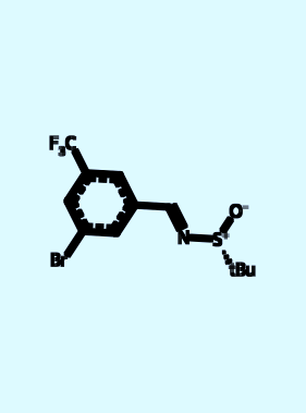 CC(C)(C)[S@@+]([O-])/N=C/c1cc(Br)cc(C(F)(F)F)c1